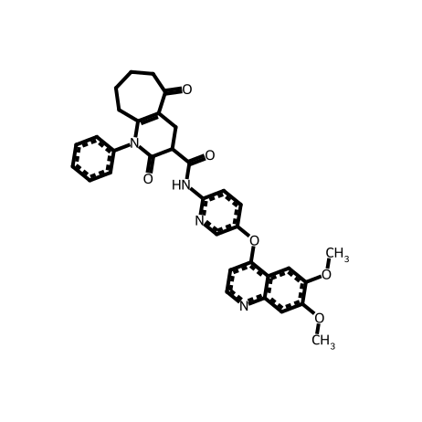 COc1cc2nccc(Oc3ccc(NC(=O)C4CC5=C(CCCCC5=O)N(c5ccccc5)C4=O)nc3)c2cc1OC